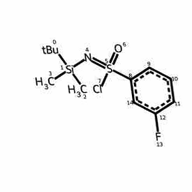 CC(C)(C)[Si](C)(C)N=S(=O)(Cl)c1cccc(F)c1